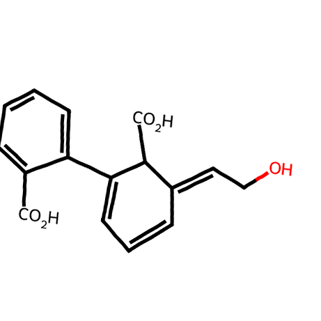 O=C(O)c1ccccc1C1=CC=CC(=CCO)C1C(=O)O